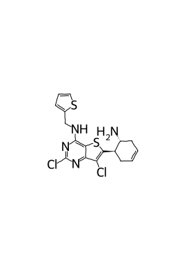 N[C@@H]1CC=CC[C@H]1c1sc2c(NCc3cccs3)nc(Cl)nc2c1Cl